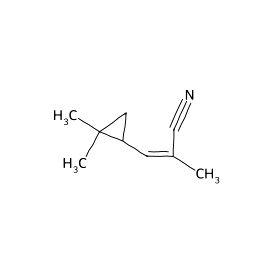 C/C(C#N)=C/C1CC1(C)C